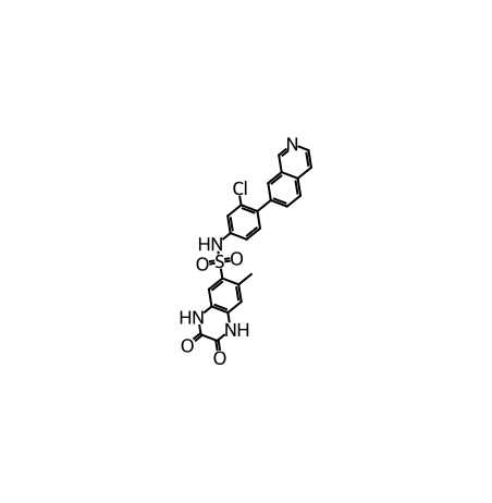 Cc1cc2[nH]c(=O)c(=O)[nH]c2cc1S(=O)(=O)Nc1ccc(-c2ccc3ccncc3c2)c(Cl)c1